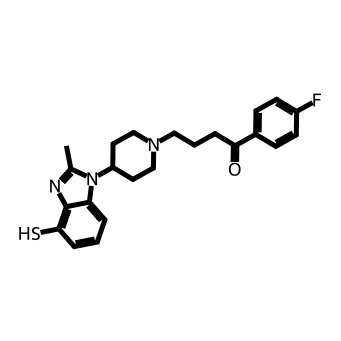 Cc1nc2c(S)cccc2n1C1CCN(CCCC(=O)c2ccc(F)cc2)CC1